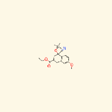 CCOC(=O)C1Cc2cc(OC)ccc2C(C#N)(O[Si](C)(C)C)C1